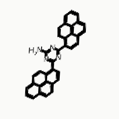 Nc1nc(-c2ccc3ccc4cccc5ccc2c3c45)nc(-c2ccc3ccc4cccc5ccc2c3c45)n1